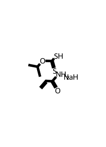 C=CC(N)=O.CC(C)OC(=S)S.[NaH]